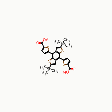 [CH3][Sn]([CH3])([CH3])[c]1cc2c(-c3ccc(C(=O)O)s3)c3s[c]([Sn]([CH3])([CH3])[CH3])cc3c(-c3ccc(C(=O)O)s3)c2s1